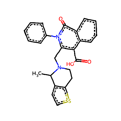 CC1c2ccsc2CCN1Cc1c(C(=O)O)c2ccccc2c(=O)n1-c1ccccc1